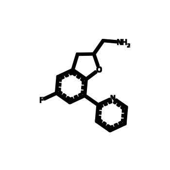 NCC1Cc2cc(F)cc(-c3ccccn3)c2O1